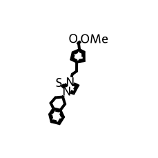 COC(=O)c1ccc(CCn2ccn(C3CCc4ccccc4C3)c2=S)cc1